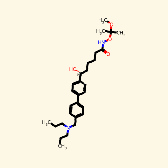 CCCN(CCC)Cc1ccc(-c2ccc([C@H](O)CCCCC(=O)NOC(C)(C)OC)cc2)cc1